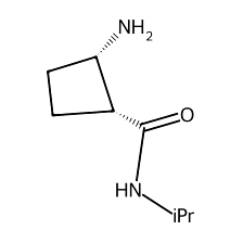 CC(C)NC(=O)[C@@H]1CC[C@@H]1N